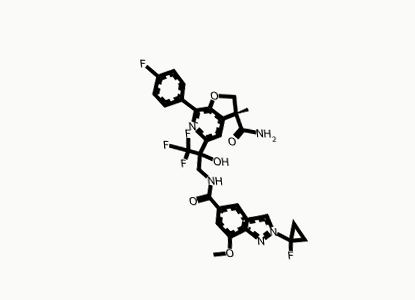 COc1cc(C(=O)NCC(O)(c2cc3c(c(-c4ccc(F)cc4)n2)OC[C@]3(C)C(N)=O)C(F)(F)F)cc2cn(C3(F)CC3)nc12